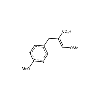 COC=C(Cc1cnc(OC)nc1)C(=O)O